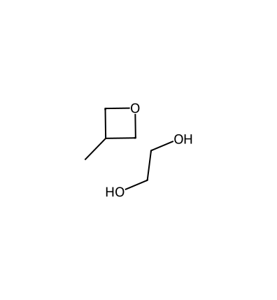 CC1COC1.OCCO